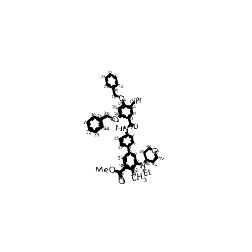 CCN(c1cc(-c2ccc(NC(=O)c3cc(C(C)C)c(OCc4ccccc4)cc3OCc3ccccc3)cc2)cc(C(=O)OC)c1C)C1CCOCC1